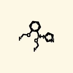 FCOc1ccccc1N(OCF)n1ccnc1